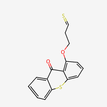 O=c1c2ccccc2sc2cccc(OCCC=S)c12